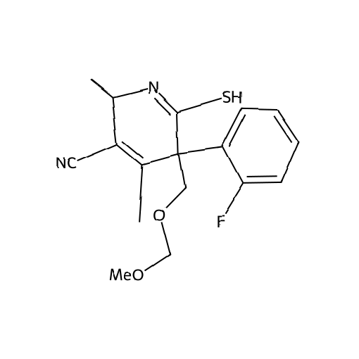 COCOCC1(c2ccccc2F)C(S)=NC(C)C(C#N)=C1C